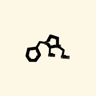 CCCCCCCCCCC[n+]1ccn(Cc2ccccc2)c1CCCC